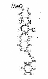 COc1ccc2nc(C(=O)N3C=Cc4ccc(C#CCc5ccccc5)cc4C3)c(=O)oc2c1